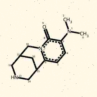 CN(C)c1ccc2n(c1=O)CC1CNCC2C1